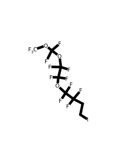 FC(F)(F)OC(F)(F)OC(F)(F)C(F)(F)OC(F)(F)C(F)(F)CCI